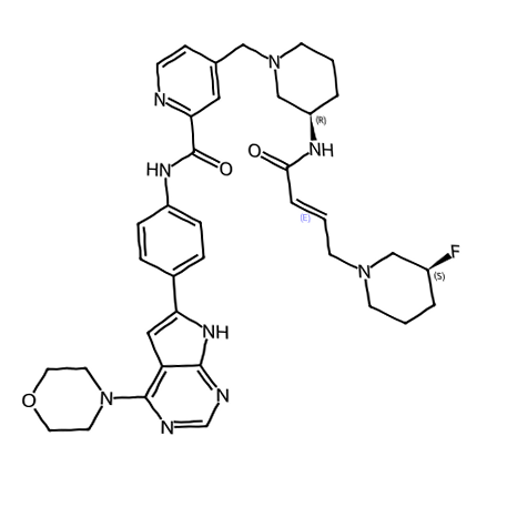 O=C(/C=C/CN1CCC[C@H](F)C1)N[C@@H]1CCCN(Cc2ccnc(C(=O)Nc3ccc(-c4cc5c(N6CCOCC6)ncnc5[nH]4)cc3)c2)C1